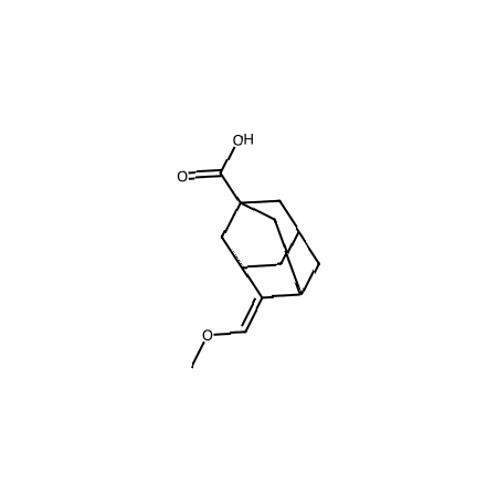 COC=C1C2CC3CC1CC(C(=O)O)(C3)C2